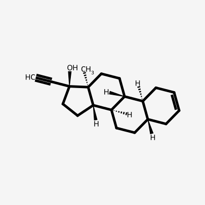 C#C[C@@]1(O)CC[C@H]2[C@@H]3CC[C@H]4CC=CC[C@@H]4[C@H]3CC[C@@]21C